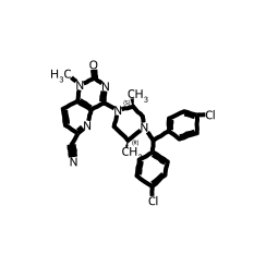 C[C@@H]1CN(c2nc(=O)n(C)c3ccc(C#N)nc23)[C@@H](C)CN1C(c1ccc(Cl)cc1)c1ccc(Cl)cc1